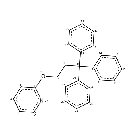 [c]1cccc(OCCC(c2ccccc2)(c2ccccc2)c2ccccc2)n1